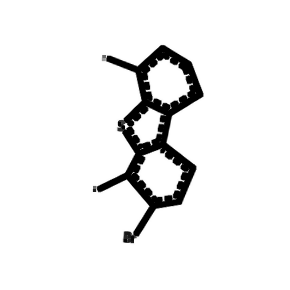 [CH]c1cccc2c1sc1c([CH])c(Br)ccc12